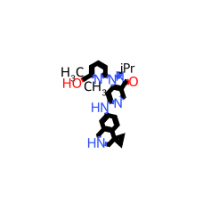 CC(C)n1c(=O)c2cnc(Nc3ccc4c(c3)CNCC43CC3)cc2n1-c1cccc(C(C)(C)O)n1